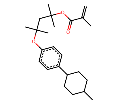 C=C(C)C(=O)OC(C)(C)CC(C)(C)Oc1ccc(C2CCC(C)CC2)cc1